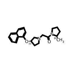 C[C@@H]1CCCN1C(=O)CN1CC[C@H](Oc2cccc3ccccc23)C1